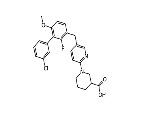 COc1ccc(Cc2ccc(N3CCCC(C(=O)O)C3)nc2)c(F)c1-c1cccc(Cl)c1